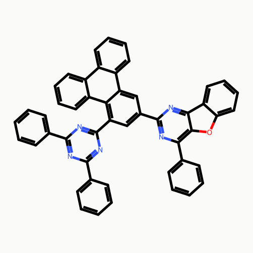 c1ccc(-c2nc(-c3ccccc3)nc(-c3cc(-c4nc(-c5ccccc5)c5oc6ccccc6c5n4)cc4c5ccccc5c5ccccc5c34)n2)cc1